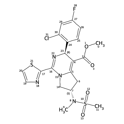 COC(=O)C1=C2C[C@H](N(C)S(C)(=O)=O)CN2C(c2nccs2)=N[C@H]1c1ccc(F)cc1Cl